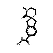 CN1CCC[C@@]2(Cc3ccc(C(=O)NO)cc3C2)C1=O